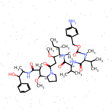 CC[C@H](C)[C@H](C(CC(=O)N1CCC[C@H]1C(OC)C(C)C(=O)NC(C)C(O)c1ccccc1)OC)N(C)C(=O)[C@@H](NC(=O)C(C(C)C)N(C)C(=O)OCc1ccc(N)cc1)C(C)C